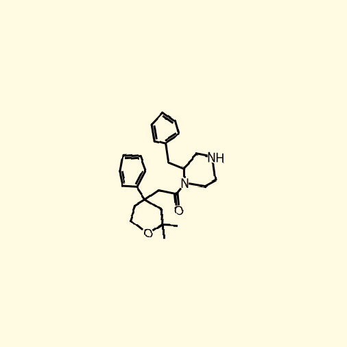 CC1(C)CC(CC(=O)N2CCNCC2Cc2ccccc2)(c2ccccc2)CCO1